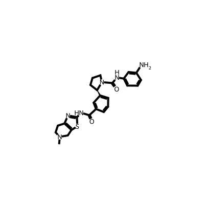 CN1CCc2nc(NC(=O)c3cccc([C@H]4CCCN4C(=O)Nc4cccc(N)c4)c3)sc2C1